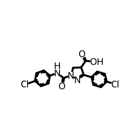 O=C(O)C1CN(C(=O)Nc2ccc(Cl)cc2)N=C1c1ccc(Cl)cc1